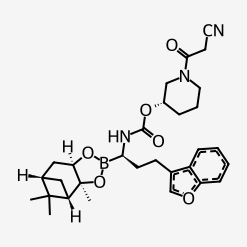 CC1(C)[C@@H]2C[C@H]3OB([C@H](CCc4coc5ccccc45)NC(=O)O[C@H]4CCCN(C(=O)CC#N)C4)O[C@@]3(C)[C@H]1C2